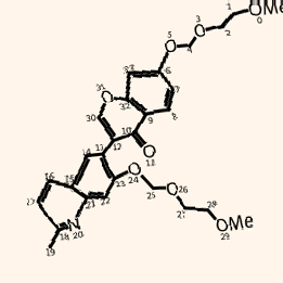 COCCOCOc1ccc2c(=O)c(-c3cc4ccc(C)nc4cc3OCOCCOC)coc2c1